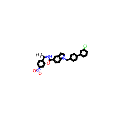 CC(NC(=O)c1ccc2c(ccn2Cc2ccc(-c3cccc(Cl)c3)cc2)c1)c1ccc([N+](=O)[O-])cc1